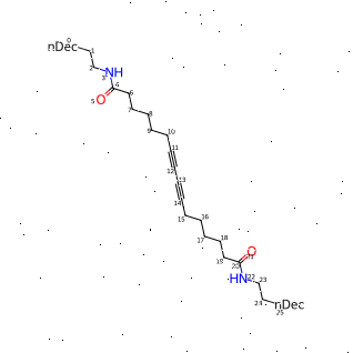 CCCCCCCCCCCCNC(=O)CCCCCC#CC#CCCCCCC(=O)NCCCCCCCCCCCC